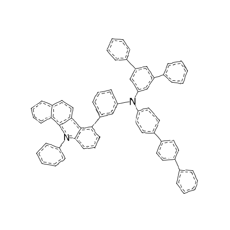 c1ccc(-c2ccc(-c3ccc(N(c4cc(-c5ccccc5)cc(-c5ccccc5)c4)c4cccc(-c5cccc6c5c5ccc7ccccc7c5n6-c5ccccc5)c4)cc3)cc2)cc1